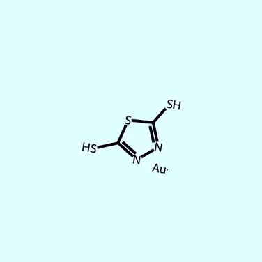 Sc1nnc(S)s1.[Au]